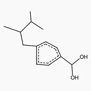 CC(C)C(C)Cc1ccc(C(O)O)cc1